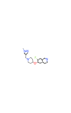 Cn1cc(CN2CCC(Oc3cc4ccncc4cc3F)CC2)cn1